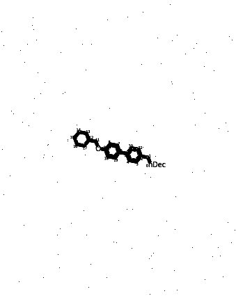 CCCCCCCCCCCc1ccc(-c2ccc(OCC3CC[CH]CC3)cc2)cc1